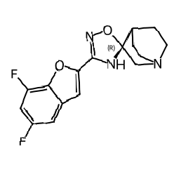 Fc1cc(F)c2oc(C3=NO[C@]4(CN5CCC4CC5)N3)cc2c1